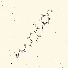 CCCCc1ccc(OC(=O)C2CCC(CC/C=C/C#N)CC2)cc1